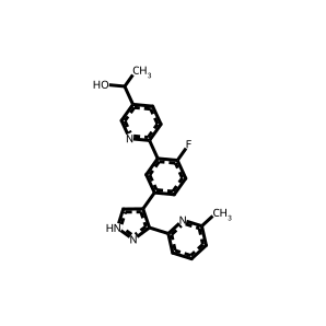 Cc1cccc(-c2n[nH]cc2-c2ccc(F)c(-c3ccc(C(C)O)cn3)c2)n1